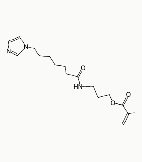 C=C(C)C(=O)OCCCNC(=O)CCCCCCn1ccnc1